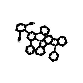 N#Cc1cccc(C#N)c1-c1cc(-c2ccccc2)c(-n2c3ccccc3c3c2ccc2c4ccccc4n(-c4ccccc4)c23)c(-c2ccccc2)c1